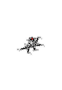 CC(C)C[C@H](NC(=O)[C@H](CCCCN)NC(=O)[C@@H](N)CCCCN)C(=O)N[C@@H](CCC(=O)O)C(=O)N[C@@H](CCCCN)C(=O)N[C@@H](CCCCN)C(=O)N[C@H](C(=O)N[C@H](C(=O)O)[C@@H](C)O)[C@@H](C)O